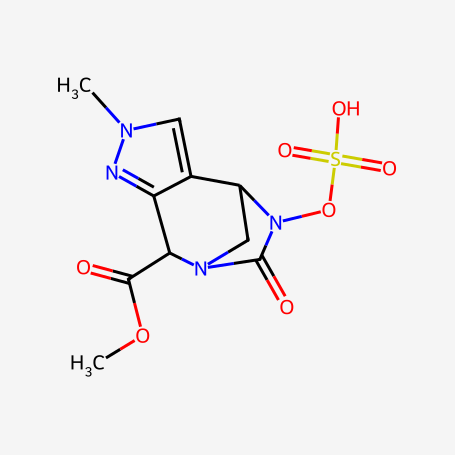 COC(=O)C1c2nn(C)cc2C2CN1C(=O)N2OS(=O)(=O)O